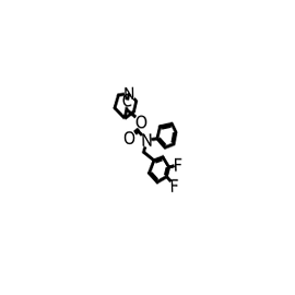 O=C(OC1CN2CCC1CC2)N(Cc1ccc(F)c(F)c1)c1ccccc1